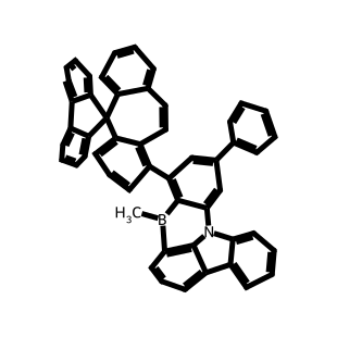 CB1c2c(-c3cccc4c3C=Cc3ccccc3C43c4ccccc4-c4ccccc43)cc(-c3ccccc3)cc2-n2c3ccccc3c3cccc1c32